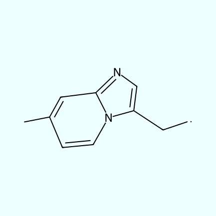 [CH2]Cc1cnc2cc(C)ccn12